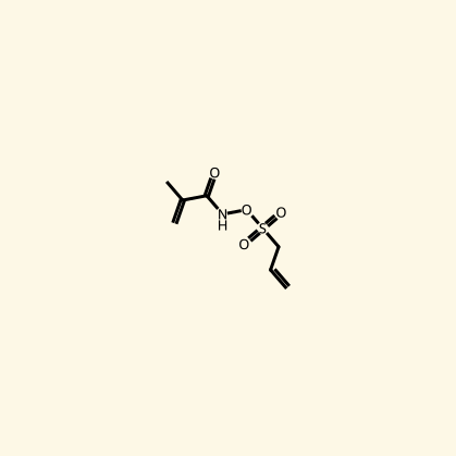 C=CCS(=O)(=O)ONC(=O)C(=C)C